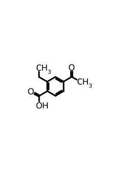 CCc1cc(C(C)=O)ccc1C(=O)O